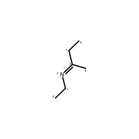 CC/N=C(\C)CC